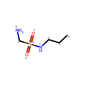 CCCNS(=O)(=O)CN